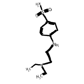 CCN(CC)CCNc1ccc(S(N)(=O)=O)cc1